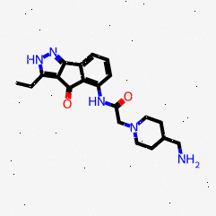 CCc1[nH]nc2c1C(=O)c1c(NC(=O)CN3CCC(CN)CC3)cccc1-2